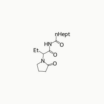 CCCCCCCC(=O)NC(=O)C(CC)N1CCCC1=O